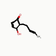 CC=CCC1C(=O)C=CC1O